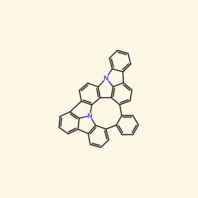 c1ccc2c(c1)c1ccc3c4ccccc4n4c5ccc6c7cccc8c9cccc2c9n(c87)c6c5c1c34